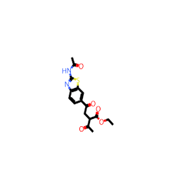 CCOC(=O)C(CC(=O)c1ccc2nc(NC(C)=O)sc2c1)C(C)=O